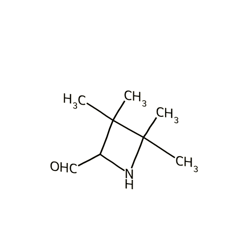 CC1(C)NC(C=O)C1(C)C